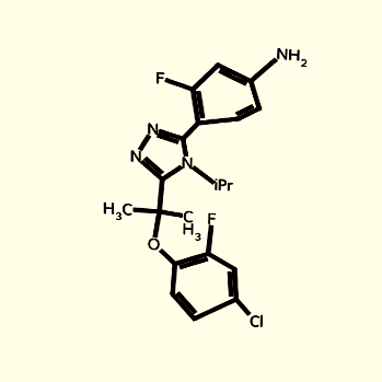 CC(C)n1c(-c2ccc(N)cc2F)nnc1C(C)(C)Oc1ccc(Cl)cc1F